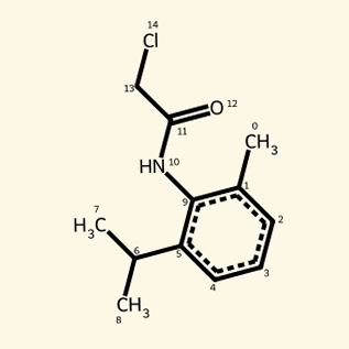 Cc1cccc(C(C)C)c1NC(=O)CCl